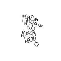 CC[C@H](C)[C@@H]([C@@H](CC(=O)N1CCC[C@H]1[C@H](OC)[C@@H](C)C(=O)N[C@H](CO)Cc1ccccc1)OC)N(C)C(=O)[C@@H](NC(=O)N1CCNC[C@@H]1C)C(C)C